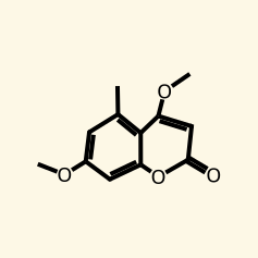 COc1cc(C)c2c(OC)cc(=O)oc2c1